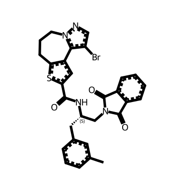 Cc1cccc(C[C@@H](CN2C(=O)c3ccccc3C2=O)NC(=O)c2cc3c(s2)CCCn2ncc(Br)c2-3)c1